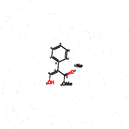 COC(=O)C(=CO)c1ccccc1.[Na]